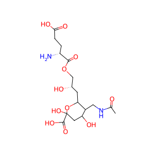 CC(=O)NCC1C(O)CC(O)(C(=O)O)OC1C[C@H](O)COC(=O)[C@H](N)CCC(=O)O